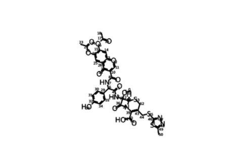 CO[C@@]1(NC(=O)C(NC(=O)c2coc3cc(OC(C)=O)c(OC(C)=O)cc3c2=O)c2ccc(O)cc2)C(=O)N2C(C(=O)O)=C(CSc3nnc(C)s3)CS[C@H]21